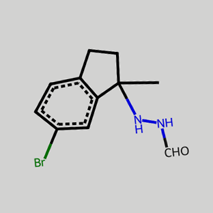 CC1(NNC=O)CCc2ccc(Br)cc21